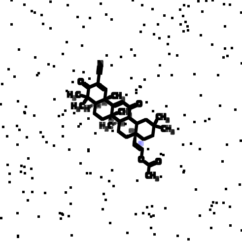 CC(=O)O/C=C/[C@]12CCC(C)(C)CC1C1C(=O)C=C3[C@@]4(C)C=C(C#N)C(=O)C(C)(C)[C@@H]4CC[C@@]3(C)[C@]1(C)CC2